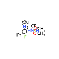 CC(C)c1cc2c(cc1F)c([C@H](NS(=O)(=O)N(C)C)C(F)(F)F)cn2CC(C)(C)C